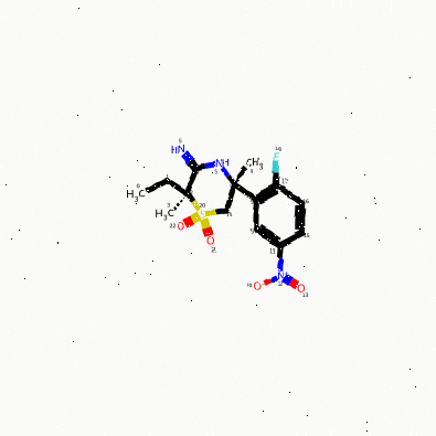 CC[C@@]1(C)C(=N)N[C@](C)(c2cc([N+](=O)[O-])ccc2F)CS1(=O)=O